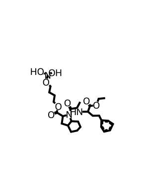 CCOC(=O)C(CCc1ccccc1)NC(C)C(=O)N1C(C(=O)OCCCCON(O)O)CC2CCCCC21